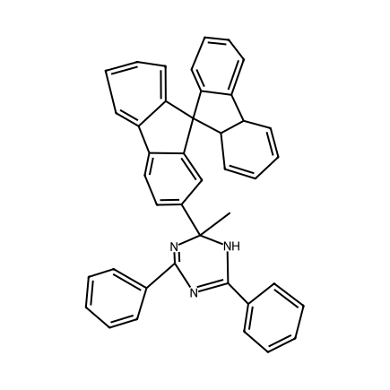 CC1(c2ccc3c(c2)C2(c4ccccc4-3)c3ccccc3C3C=CC=CC32)N=C(c2ccccc2)N=C(c2ccccc2)N1